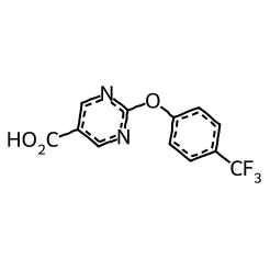 O=C(O)c1cnc(Oc2ccc(C(F)(F)F)cc2)nc1